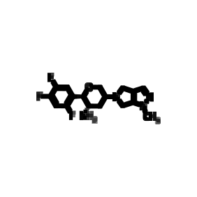 Cn1ncc2c1CN(C1CO[C@H](c3cc(F)c(F)cc3F)[C@@H](N)C1)C2